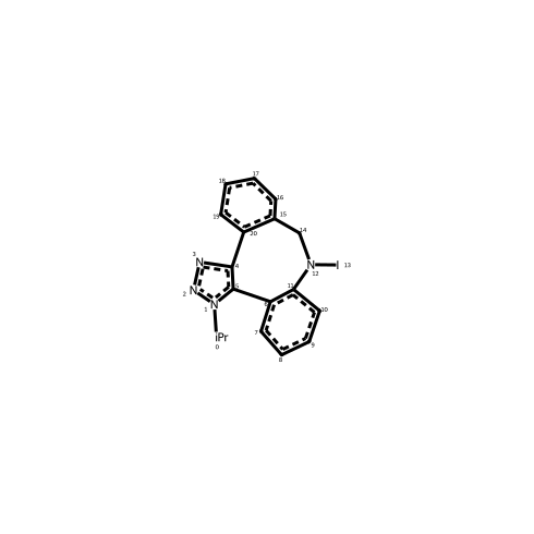 CC(C)n1nnc2c1-c1ccccc1N(I)Cc1ccccc1-2